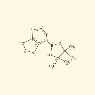 CC1(C)OB(c2cccc3c2OCO3)OC1(C)C